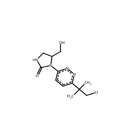 CC(C)(CCl)c1ccc(N2C(=O)NCC2CO)nn1